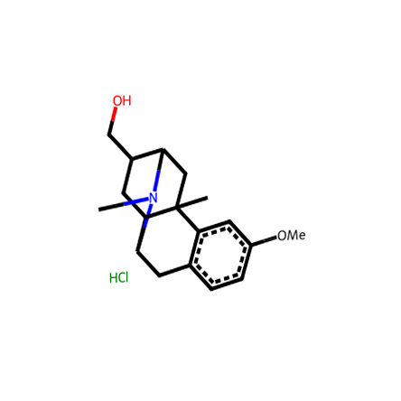 COc1ccc2c(c1)C1(C)CC3C(CO)CC1C(C2)N3C.Cl